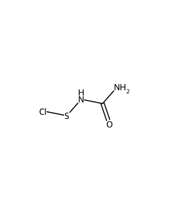 NC(=O)NSCl